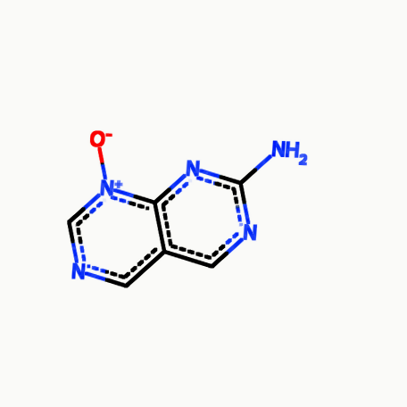 Nc1ncc2cnc[n+]([O-])c2n1